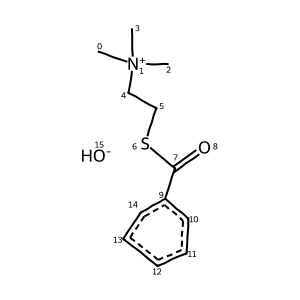 C[N+](C)(C)CCSC(=O)c1ccccc1.[OH-]